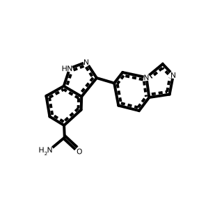 NC(=O)c1ccc2[nH]nc(-c3ccc4cncn4c3)c2c1